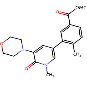 COC(=O)c1ccc(C)c(-c2cc(N3CCOCC3)c(=O)n(C)c2)c1